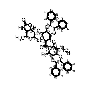 CCC1O[C@@H](C)C2NC(=O)O[C@H]2[C@@H]1O[C@@H]1OC(C(=O)OC)[C@@H](O[C@H]2OC(CC)[C@H](OCc3ccccc3)[C@H](OCc3ccccc3)C2N=[N+]=[N-])[C@H](OCc2ccccc2)C1OCc1ccccc1